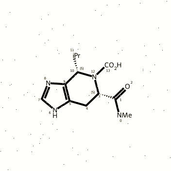 CNC(=O)[C@@H]1Cc2[nH]cnc2[C@H](C(C)C)N1C(=O)O